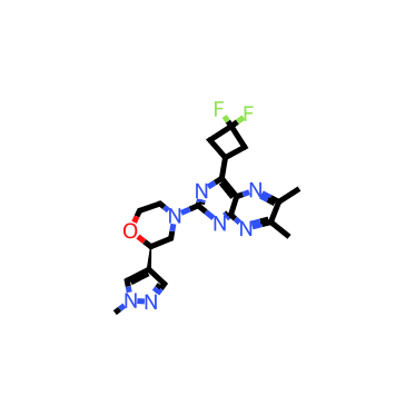 Cc1nc2nc(N3CCO[C@H](c4cnn(C)c4)C3)nc(C3CC(F)(F)C3)c2nc1C